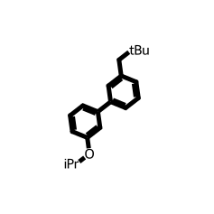 CC(C)Oc1cccc(-c2cccc(CC(C)(C)C)c2)c1